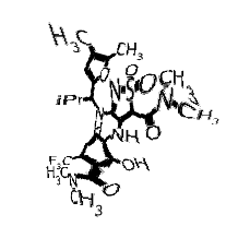 Cc1cc(C(NC2=NS(=O)(=O)C(C(=O)N(C)C)=C2Nc2ccc(C(F)(F)F)c(C(=O)N(C)C)c2O)C(C)C)oc1C